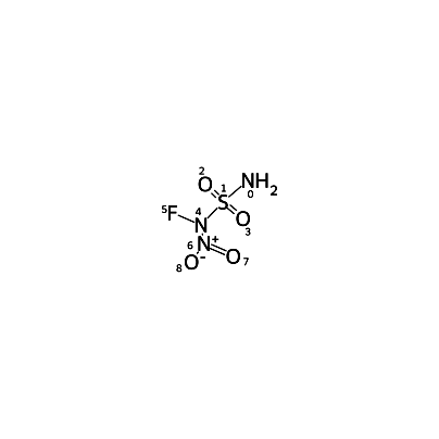 NS(=O)(=O)N(F)[N+](=O)[O-]